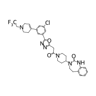 O=C(Cc1nnc(-c2cc(Cl)cc(C3=CCN(CC(F)(F)F)CC3)c2)o1)N1CCC(N2CCc3ccccc3NC2=O)CC1